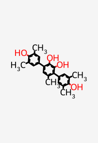 Cc1cc(-c2cc(C)c(-c3cc(C)c(O)c(C)c3)c(O)c2O)cc(C)c1O